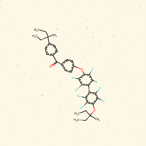 CCC(C)(CC)Oc1c(F)c(F)c(-c2c(F)c(F)c(Oc3ccc(C(=O)c4ccc(C(C)(CC)CC)cc4)cc3)c(F)c2F)c(F)c1F